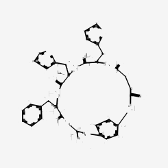 O=C1CCC(=O)N[C@H](Cc2cccs2)C(=O)N[C@@H](Cc2cccs2)C(=O)N[C@H](Cc2ccccc2)C(=O)N[C@H](C(=O)O)Cc2ccc(cc2)N1